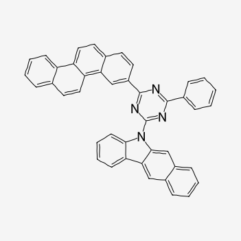 c1ccc(-c2nc(-c3ccc4ccc5c6ccccc6ccc5c4c3)nc(-n3c4ccccc4c4cc5ccccc5cc43)n2)cc1